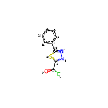 O=C(Cl)c1nnc(-c2ccccc2)s1